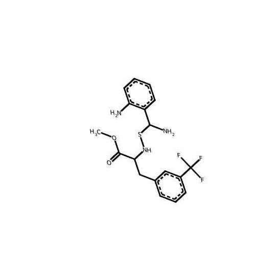 COC(=O)C(Cc1cccc(C(F)(F)F)c1)NSC(N)c1ccccc1N